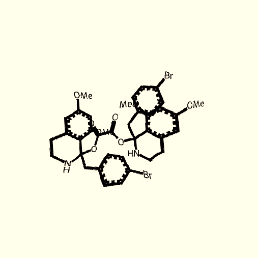 COc1cc2c(c(OC)c1)C(Cc1ccc(Br)cc1)(OC(=O)C(=O)OC1(Cc3ccc(Br)cc3)NCCc3cc(OC)cc(OC)c31)NCC2